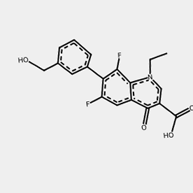 CCn1cc(C(=O)O)c(=O)c2cc(F)c(-c3cccc(CO)c3)c(F)c21